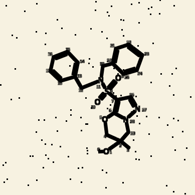 COC1(C)COc2c(S(=O)(=O)N(Cc3ccccc3)Cc3ccccc3)cnn2C1